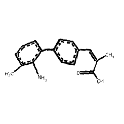 CC(=Cc1ccc(-c2cccc(C)c2N)cc1)C(=O)O